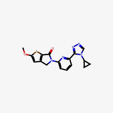 COc1cc2c(s1)C(=O)N(c1cccc(-c3nncn3C3CC3)n1)C2